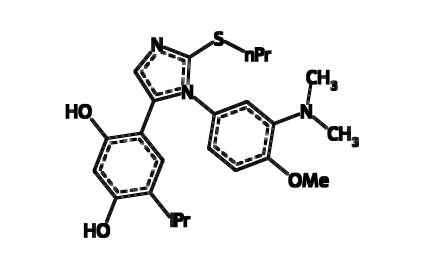 CCCSc1ncc(-c2cc(C(C)C)c(O)cc2O)n1-c1ccc(OC)c(N(C)C)c1